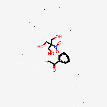 O=C(CF)c1ccccc1.O=[N+]([O-])C(CO)(CO)CO